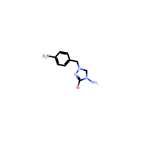 NN1CN(Cc2ccc([N+](=O)[O-])cc2)N=C1Br